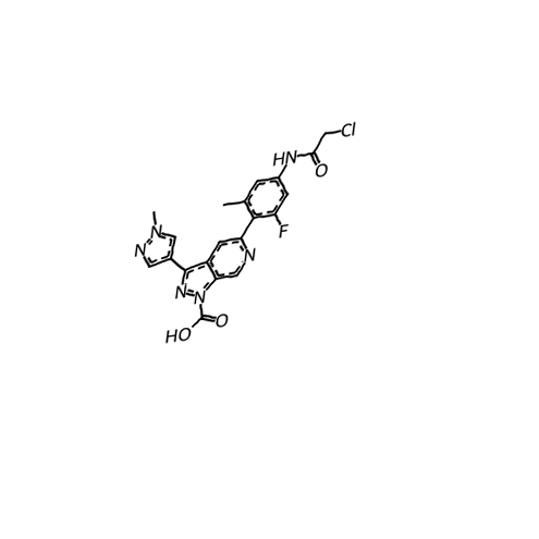 Cc1cc(NC(=O)CCl)cc(F)c1-c1cc2c(-c3cnn(C)c3)nn(C(=O)O)c2cn1